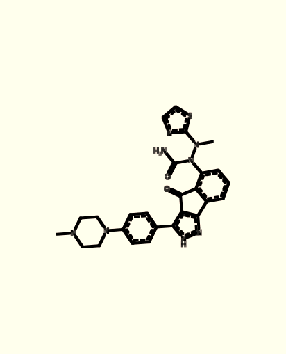 CN1CCN(c2ccc(-c3[nH]nc4c3C(=O)c3c-4cccc3N(C(N)=O)N(C)c3nccs3)cc2)CC1